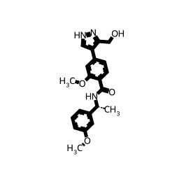 COc1cccc([C@@H](C)NC(=O)c2ccc(-c3c[nH]nc3CO)cc2OC)c1